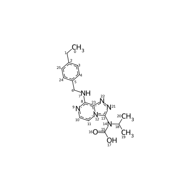 CCc1ccc(CNc2nccn3c(N(C(=O)O)C(C)C)nnc23)cc1